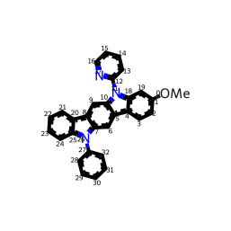 COc1ccc2c3cc4c(cc3n(-c3ccccn3)c2c1)c1ccccc1n4-c1ccccc1